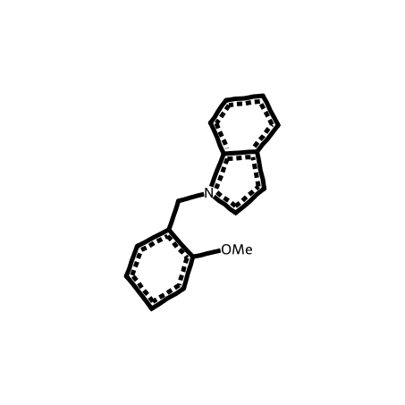 COc1ccccc1Cn1ccc2ccccc21